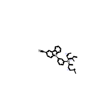 C=C/C(C)=C(\C=C/C)N(C(=C)/C=C\C(=C)C)c1cccc(-n2c3ccccc3c3cc(C#N)ccc32)c1